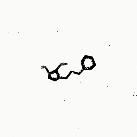 CCCCCCCCCc1n(CCCC)cc[n+]1CCCc1ccccc1